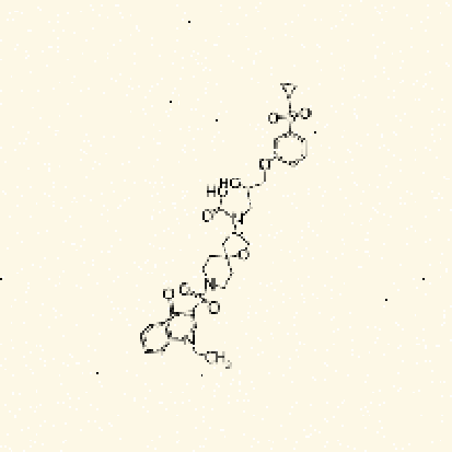 CCn1cc(S(=O)(=O)N2CCC3(CC2)CC(N(CC(O)COc2cccc(S(=O)(=O)C4CC4)c2)C(=O)O)CO3)c(=O)c2ccccc21